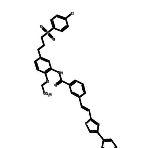 Cc1ccc(-c2csc(/C=C/c3cccc(C(=O)Nc4cc(CCCS(=O)(=O)c5ccc(Cl)cc5)ccc4OCC(=O)O)c3)n2)cc1